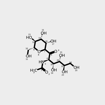 CC(=O)N[C@@H](C(=O)C1O[C@H](CO)[C@@H](O)[C@H](O)[C@@H]1O)[C@@H](O)[C@H](O)[C@H](O)CO